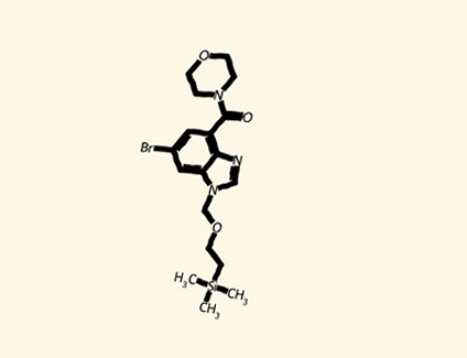 C[Si](C)(C)CCOCn1cnc2c(C(=O)N3CCOCC3)cc(Br)cc21